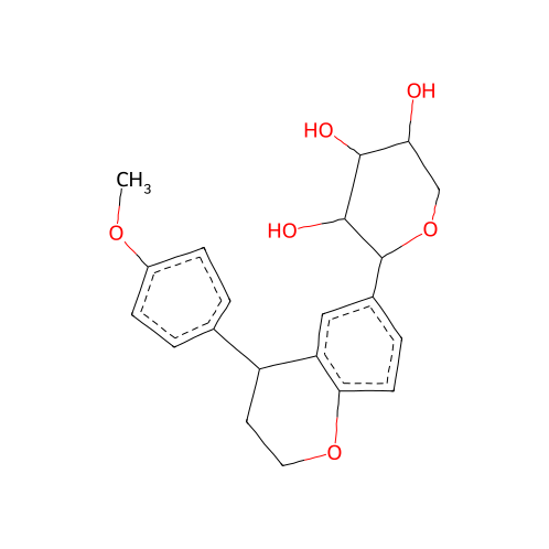 COc1ccc(C2CCOc3ccc(C4OCC(O)C(O)C4O)cc32)cc1